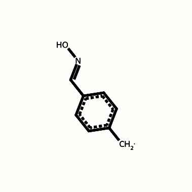 [CH2]c1ccc(C=NO)cc1